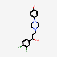 Oc1ccc(N2CCN(CCC(O)c3ccc(Cl)c(Cl)c3)CC2)cc1